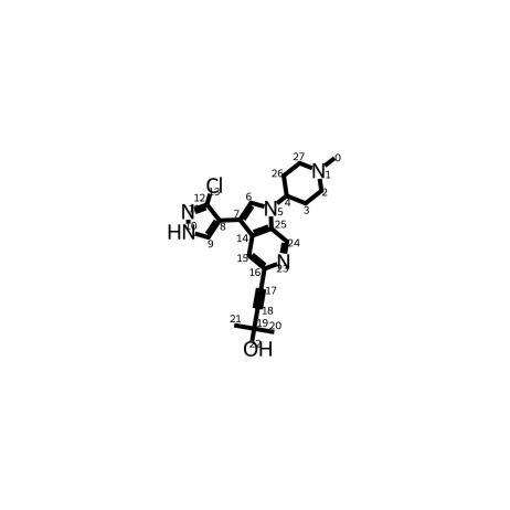 CN1CCC(n2cc(-c3c[nH]nc3Cl)c3cc(C#CC(C)(C)O)ncc32)CC1